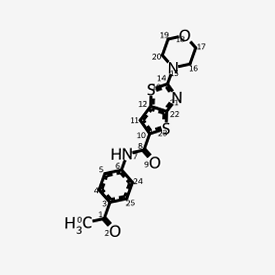 CC(=O)c1ccc(NC(=O)c2cc3sc(N4CCOCC4)nc3s2)cc1